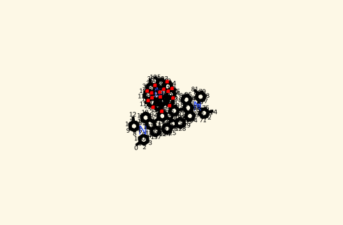 Cc1cccc(N(c2cccc(C)c2)c2c3ccccc3c(-c3cc(-c4c5ccccc5c(N(c5cccc(C)c5)c5cccc(C)c5)c5ccccc45)cc(C4(c5cc(-c6c7ccccc7c(N(c7cccc(C)c7)c7cccc(C)c7)c7ccccc67)cc(-c6c7ccccc7c(N(c7cccc(C)c7)c7cccc(C)c7)c7ccccc67)c5)c5ccccc5-c5ccccc54)c3)c3ccccc23)c1